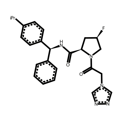 CC(C)c1ccc([C@@H](NC(=O)[C@H]2C[C@@H](F)CN2C(=O)Cn2cnnc2)c2ccccc2)cc1